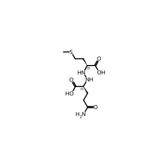 CSCC[C@H](NN[C@@H](CCC(N)=O)C(=O)O)C(=O)O